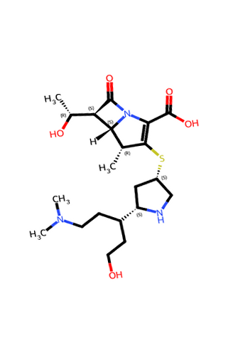 C[C@@H](O)[C@H]1C(=O)N2C(C(=O)O)=C(S[C@@H]3CN[C@H](C(CCO)CCN(C)C)C3)[C@H](C)[C@H]12